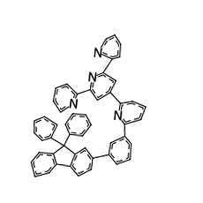 c1ccc(C2(c3ccccc3)c3ccccc3-c3ccc(-c4cccc(-c5cccc(-c6cc(-c7ccccn7)nc(-c7ccccn7)c6)n5)c4)cc32)cc1